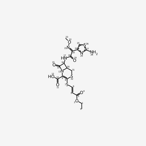 CCOC(=O)/C=C/SC1=C(C(=O)O)N2C(=O)C(NC(=O)C(=NOC)c3csc(N)n3)C2CS1